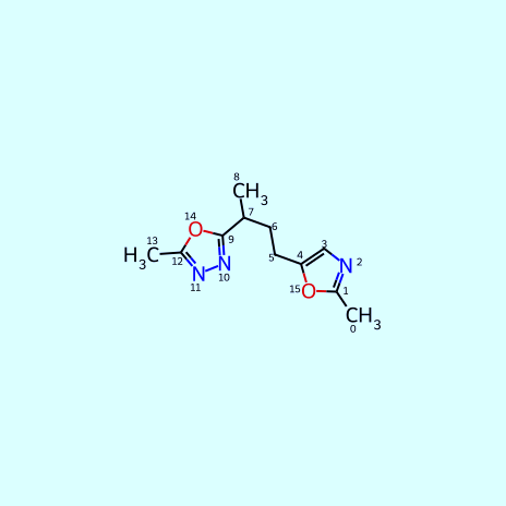 Cc1ncc(CCC(C)c2nnc(C)o2)o1